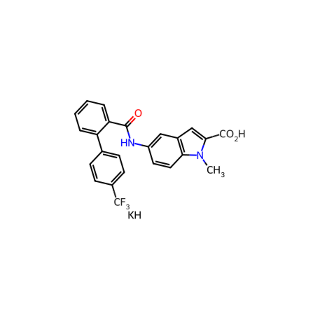 Cn1c(C(=O)O)cc2cc(NC(=O)c3ccccc3-c3ccc(C(F)(F)F)cc3)ccc21.[KH]